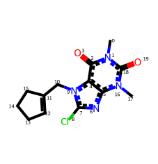 Cn1c(=O)c2c(nc(Cl)n2CC2=CCCC2)n(C)c1=O